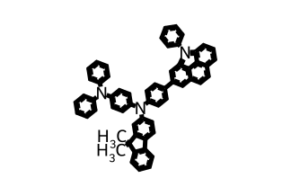 CC1(C)c2ccccc2-c2ccc(N(c3ccc(-c4cc5ccc6cccc7c6c5c(c4)n7-c4ccccc4)cc3)c3ccc(N(c4ccccc4)c4ccccc4)cc3)cc21